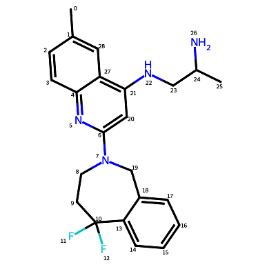 Cc1ccc2nc(N3CCC(F)(F)c4ccccc4C3)cc(NCC(C)N)c2c1